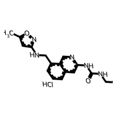 CCNC(=O)Nc1cc2cccc(CNc3cc(C)on3)c2cn1.Cl